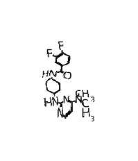 CN(C)c1ccnc(N[C@H]2CC[C@@H](NC(=O)c3ccc(F)c(F)c3)CC2)n1